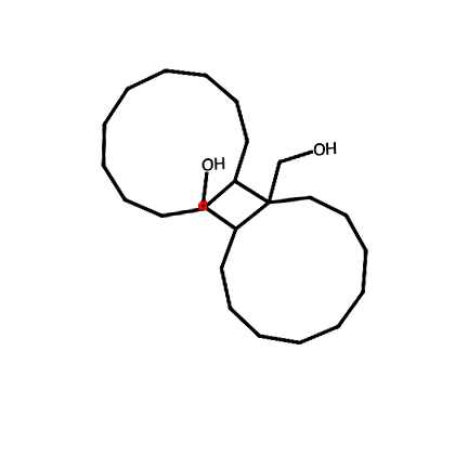 OCC1CCCCCCCCCC1(CO)C1CCCCCCCCCC1